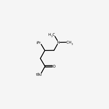 CC(C)C(CC(=O)C(C)(C)C)CN(C)C